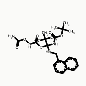 CC(C)(C)OC(=O)NC(NCc1cccc2ccccc12)(OC(=O)NOC(N)=O)C(C)(C)C